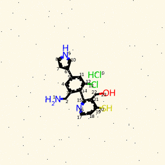 Cl.NCc1cc(-c2cc[nH]c2)cc(Cl)c1-c1nccc(S)c1CO